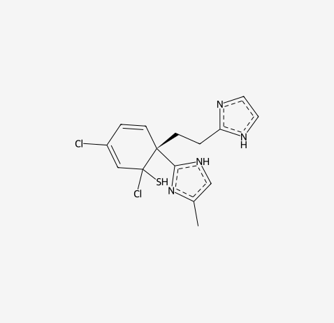 Cc1c[nH]c([C@@]2(CCc3ncc[nH]3)C=CC(Cl)=CC2(S)Cl)n1